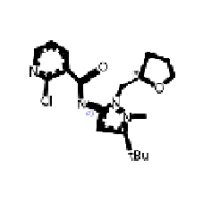 Cn1c(C(C)(C)C)c/c(=N/C(=O)c2cccnc2Cl)n1C[C@H]1CCCO1